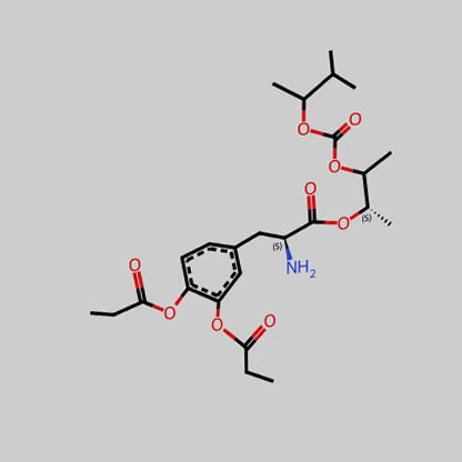 CCC(=O)Oc1ccc(C[C@H](N)C(=O)O[C@@H](C)C(C)OC(=O)OC(C)C(C)C)cc1OC(=O)CC